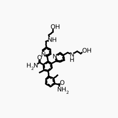 Cc1c(C(N)=O)cccc1-c1cc(-c2ccc(CNCCO)cn2)c(-c2ccc(CNCCO)cn2)c(C(N)=O)c1C